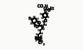 CCOC(Cc1ccc(OCCN(CCCCC(F)(F)C(F)(F)C(F)(F)F)C(=O)Oc2ccc(F)cc2F)cc1)C(=O)O